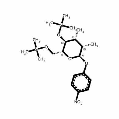 C[C@@H]1[C@@H](Oc2ccc([N+](=O)[O-])cc2)O[C@H](CO[Si](C)(C)C)[C@@H](O[Si](C)(C)C)[C@@H]1C